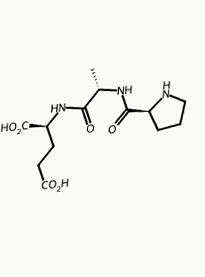 C[C@H](NC(=O)[C@@H]1CCCN1)C(=O)N[C@@H](CCC(=O)O)C(=O)O